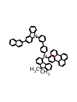 CC1(C)c2ccccc2-c2c(N(c3ccc(-c4cccc(-n5c6ccccc6c6cc(-c7ccc8ccccc8c7)ccc65)c4)cc3)c3ccc(-c4cccc5cccc(-c6ccccc6)c45)cc3)cccc21